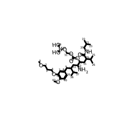 COCCCOc1cc(CC(CC(N)C(CC(C(=O)NCC(C)C)C(C)C)OC(=O)OCON(O)O)C(C)C)ccc1OC